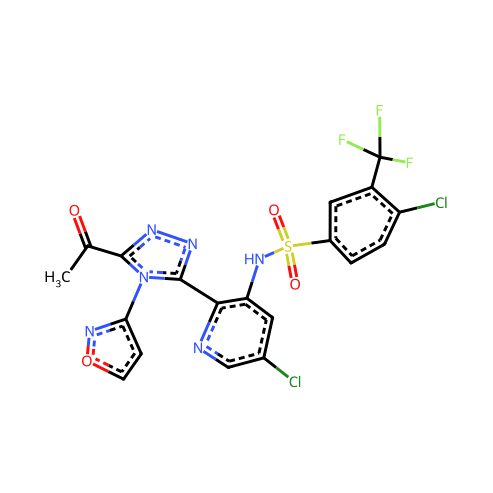 CC(=O)c1nnc(-c2ncc(Cl)cc2NS(=O)(=O)c2ccc(Cl)c(C(F)(F)F)c2)n1-c1ccon1